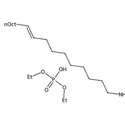 CCCCCCCCC=CCCCCCCCCN.CCOP(=O)(O)OCC